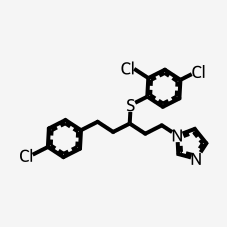 Clc1ccc(CCC(CCn2ccnc2)Sc2ccc(Cl)cc2Cl)cc1